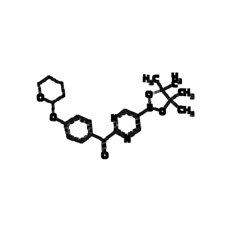 CC1(C)OB(c2cnc(C(=O)c3ccc(OC4CCCCO4)cc3)nc2)OC1(C)C